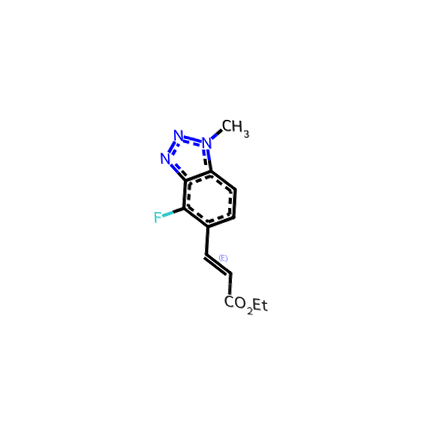 CCOC(=O)/C=C/c1ccc2c(nnn2C)c1F